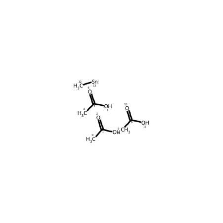 CC(=O)O.CC(=O)O.CC(=O)O.[CH3][Sn]